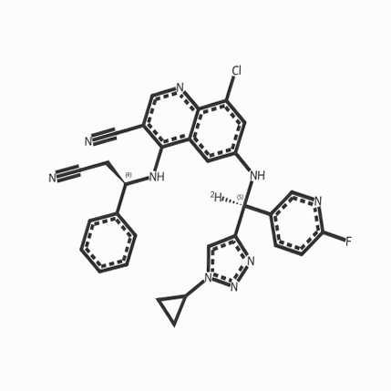 [2H][C@](Nc1cc(Cl)c2ncc(C#N)c(N[C@H](CC#N)c3ccccc3)c2c1)(c1ccc(F)nc1)c1cn(C2CC2)nn1